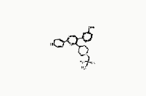 COc1cccc(-c2cnc(C3=CCNC=C3)nc2C2CCN(CC(C)(C)C#N)CC2)c1